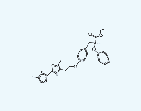 CCOC(=O)[C@](C)(Cc1ccc(OCCc2nc(-c3ccc(C)s3)oc2C)cc1)Oc1ccccc1